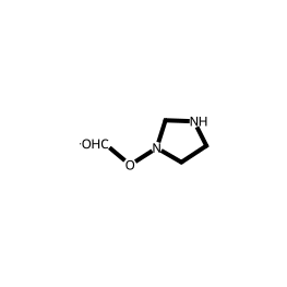 O=[C]ON1CCNC1